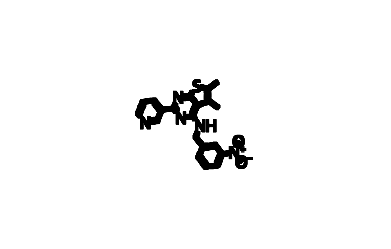 Cc1sc2nc(-c3cccnc3)nc(NCc3cccc([N+](=O)[O-])c3)c2c1C